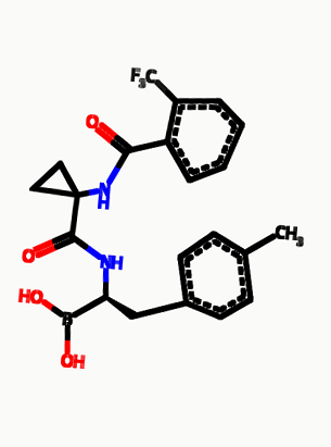 Cc1ccc(C[C@H](NC(=O)C2(NC(=O)c3ccccc3C(F)(F)F)CC2)B(O)O)cc1